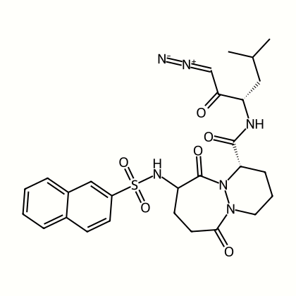 CC(C)C[C@H](NC(=O)[C@@H]1CCCN2C(=O)CCC(NS(=O)(=O)c3ccc4ccccc4c3)C(=O)N12)C(=O)C=[N+]=[N-]